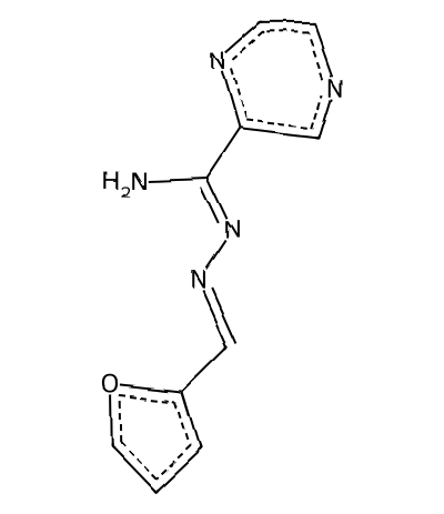 N/C(=N\N=C\c1ccco1)c1cnccn1